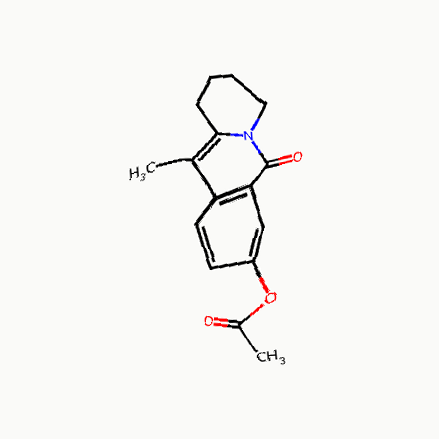 CC(=O)Oc1ccc2c(C)c3n(c(=O)c2c1)CCCC3